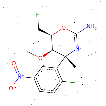 CO[C@H]1[C@@H](CF)OC(N)=N[C@]1(C)c1cc([N+](=O)[O-])ccc1F